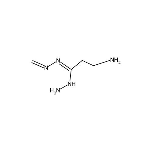 C=N/N=C(/CCN)NN